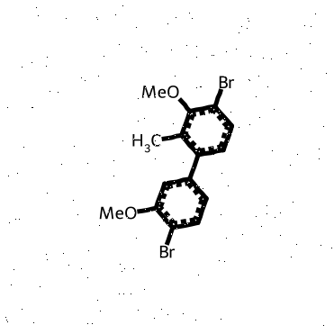 COc1cc(-c2ccc(Br)c(OC)c2C)ccc1Br